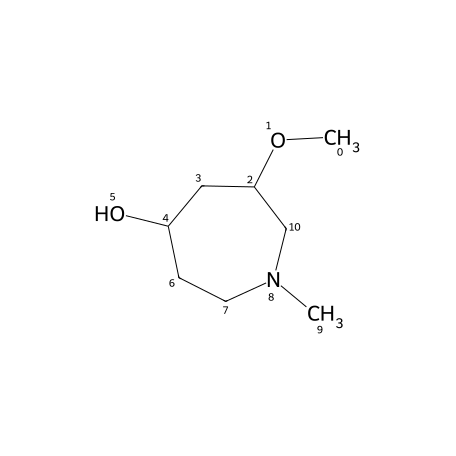 COC1CC(O)CCN(C)C1